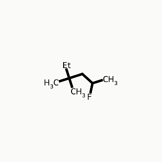 CCC(C)(C)CC(C)F